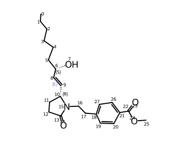 CCCCCC[C@H](O)/C=C/[C@H]1CCC(=O)N1CCc1ccc(C(=O)OC)cc1